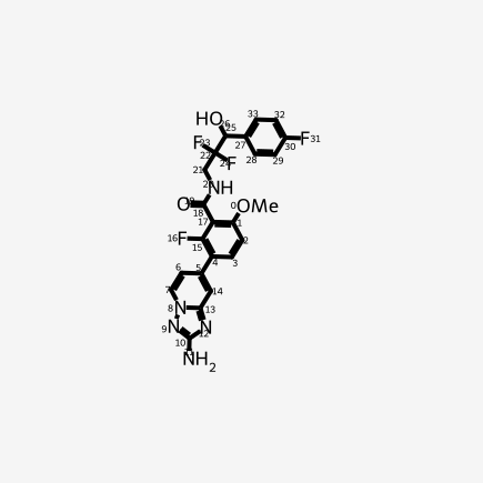 COc1ccc(-c2ccn3nc(N)nc3c2)c(F)c1C(=O)NCC(F)(F)C(O)c1ccc(F)cc1